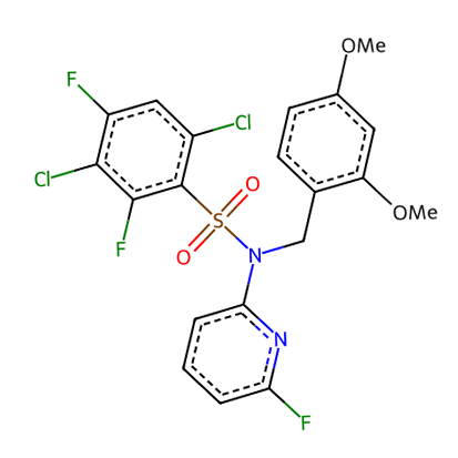 COc1ccc(CN(c2cccc(F)n2)S(=O)(=O)c2c(Cl)cc(F)c(Cl)c2F)c(OC)c1